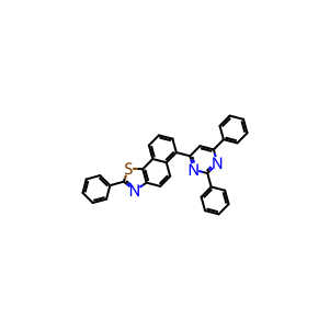 c1ccc(-c2cc(-c3cccc4c3ccc3nc(-c5ccccc5)sc34)nc(-c3ccccc3)n2)cc1